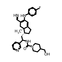 C[C@]12CC(C=N)=C(Nc3ccc(F)cc3)C=C1CC[C@@H]2CC(NC(=O)N1CCC(CO)CC1)c1cccnc1